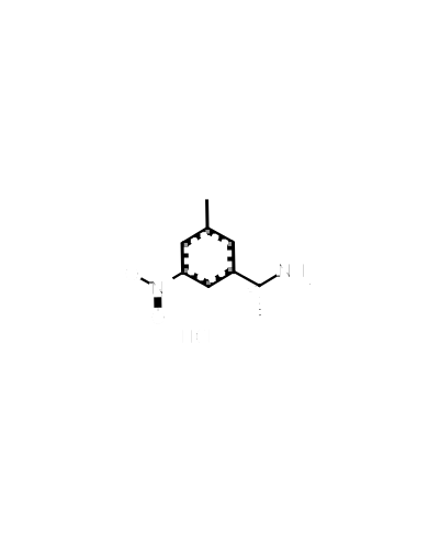 Cc1cc([C@@H](C)N)cc([N+](=O)[O-])c1.Cl